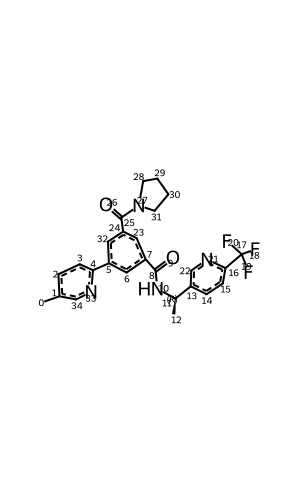 Cc1ccc(-c2cc(C(=O)N[C@H](C)c3ccc(C(F)(F)F)nc3)cc(C(=O)N3CCCC3)c2)nc1